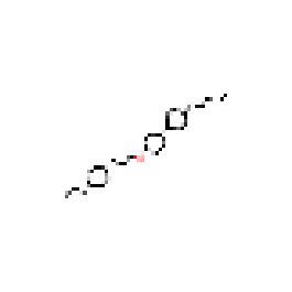 CCCCCc1ccc([C@H]2CC[C@H](OCCC[C@H]3CC[C@H](CCC)CC3)CC2)cc1